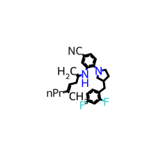 C=C(C/C=C(\C)CCC)Nc1cc(C#N)ccc1N1CCC(Cc2ccc(F)cc2F)C1